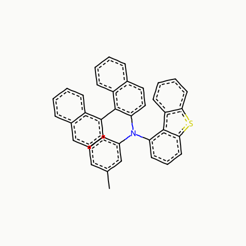 Cc1cccc(N(c2ccc3ccccc3c2-c2cccc3ccccc23)c2cccc3sc4ccccc4c23)c1